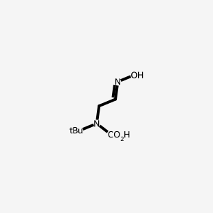 CC(C)(C)N(CC=NO)C(=O)O